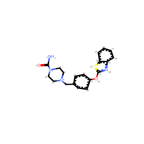 NC(=O)N1CCN(Cc2ccc(Oc3nc4ccccc4s3)cc2)CC1